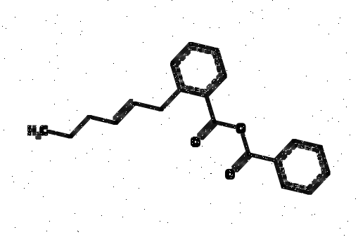 CCCC=CCc1ccccc1C(=O)OC(=O)c1ccccc1